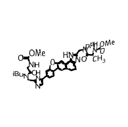 CCCN(Cc1nc2ccc3cc4c(cc3c2[nH]1)OCc1cc(-c2cnc(CN(C(=O)CNC(=O)OC)[C@@H](C)CC)[nH]2)ccc1-4)C(=O)[C@H](C)NC(=O)OC